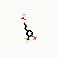 O=[C]OC/C=C/c1ccc(Br)c(C(F)(F)F)c1